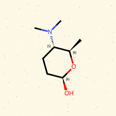 C[C@H]1O[C@@H](O)CC[C@@H]1N(C)C